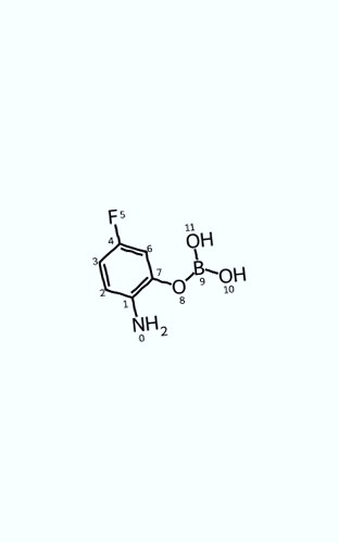 Nc1ccc(F)cc1OB(O)O